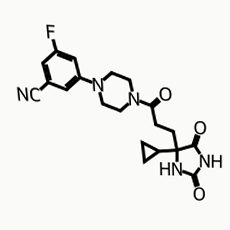 N#Cc1cc(F)cc(N2CCN(C(=O)CCC3(C4CC4)NC(=O)NC3=O)CC2)c1